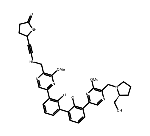 COc1nc(-c2cccc(-c3cccc(-c4cnc(CN5CCC[C@H]5CO)c(OC)n4)c3Cl)c2Cl)cnc1CNC#CC1CCC(=O)N1